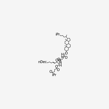 CCCCCCCCCCCCC/C=C/[C@@H](O)[C@H](COC(=O)CCC(=O)C(C)C)NC(=O)CNC(=O)CO[C@H]1CC[C@@]2(C)C(CCC3C2CC[C@@]2(C)C3CC[C@@H]2C(C)CCCC(C)C)C1